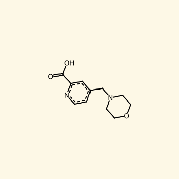 O=C(O)c1cc(CN2CCOCC2)ccn1